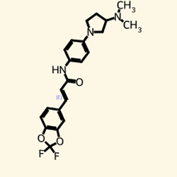 CN(C)C1CCN(c2ccc(NC(=O)/C=C/c3ccc4c(c3)OC(F)(F)O4)cc2)C1